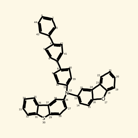 c1ccc(-c2ccc(-c3ccc(N(c4ccc5oc6ccccc6c5c4)c4ccc5sc6ccccc6c5c4)cc3)cc2)cc1